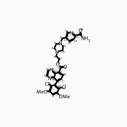 COc1cc(OC)c(Cl)c(-c2ccc(C(=O)OCCN3CCN(Cc4ccc(C(N)=O)nc4)CC3)c3nccnc23)c1Cl